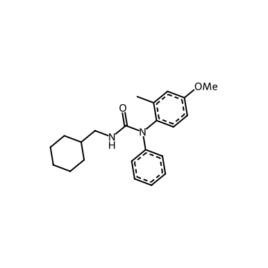 COc1ccc(N(C(=O)NCC2CCCCC2)c2ccccc2)c(C)c1